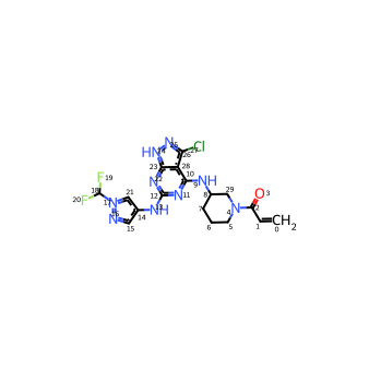 C=CC(=O)N1CCCC(Nc2nc(Nc3cnn(C(F)F)c3)nc3[nH]nc(Cl)c23)C1